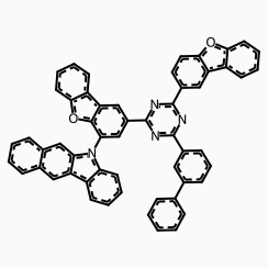 c1ccc(-c2cccc(-c3nc(-c4ccc5oc6ccccc6c5c4)nc(-c4cc(-n5c6ccccc6c6cc7ccccc7cc65)c5oc6ccccc6c5c4)n3)c2)cc1